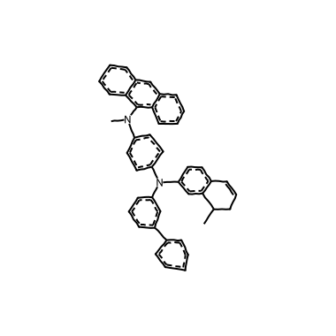 CC1CC=Cc2ccc(N(c3ccc(N(C)c4c5ccccc5cc5ccccc45)cc3)c3cccc(-c4ccccc4)c3)cc21